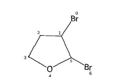 BrC1CCOC1Br